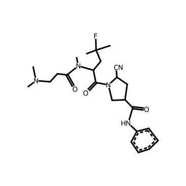 CN(C)CCC(=O)N(C)C(CC(C)(C)F)C(=O)N1CC(C(=O)Nc2ccccc2)CC1C#N